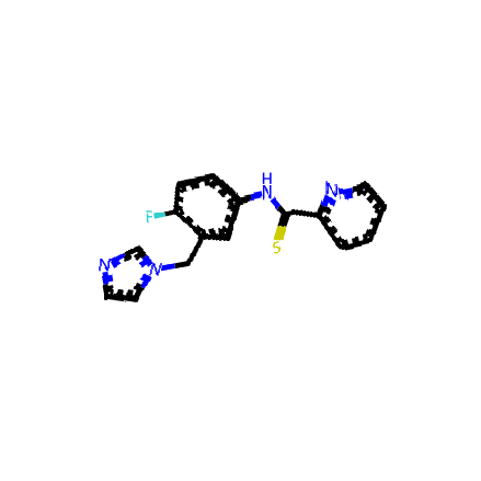 Fc1ccc(NC(=S)c2ccccn2)cc1Cn1ccnc1